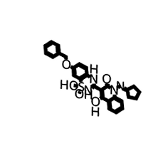 O=c1c(C2=NS(O)(O)c3cc(OCc4ccccc4)ccc3N2)c(O)c2ccccc2n1N=C1CCCC1